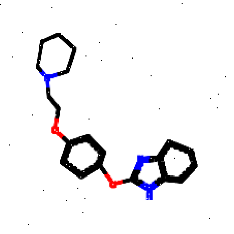 c1ccc2[nH]c(Oc3ccc(OCCN4CCCCC4)cc3)nc2c1